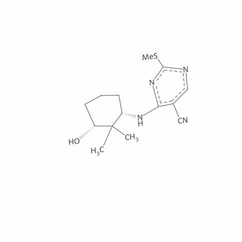 CSc1ncc(C#N)c(N[C@H]2CCC[C@@H](O)C2(C)C)n1